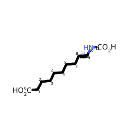 O=C(O)CCCCCCC/C=C/NC(=O)O